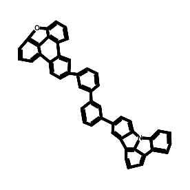 c1cc(-c2cccc(-c3ccc4c(c3)c3cccc5c6ccccc6n4c53)c2)cc(-c2ccc3c(c2)c2cccc4oc5cccc3c5c42)c1